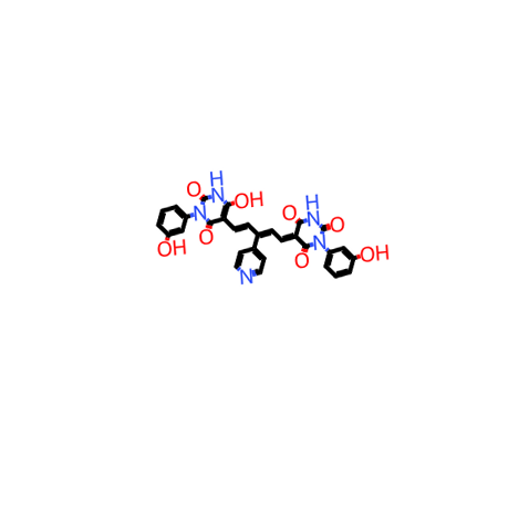 O=C1NC(=O)N(c2cccc(O)c2)C(=O)C1=CC=C(C=Cc1c(O)[nH]c(=O)n(-c2cccc(O)c2)c1=O)c1ccncc1